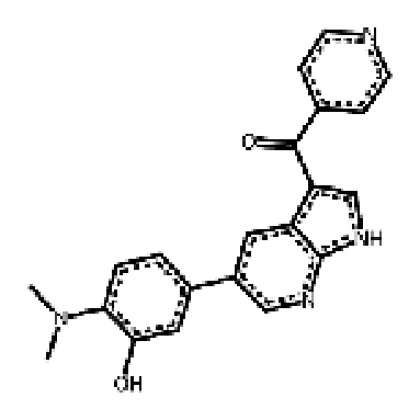 CN(C)c1ccc(-c2cnc3[nH]cc(C(=O)c4ccncc4)c3c2)cc1O